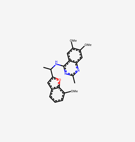 COc1cc2nc(C)nc(NC(C)c3cc4cccc(OC)c4o3)c2cc1OC